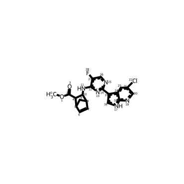 COC(=O)C1C2C=CC(C2)C1Nc1nc(-c2c[nH]c3ncc(Cl)cc23)ncc1F